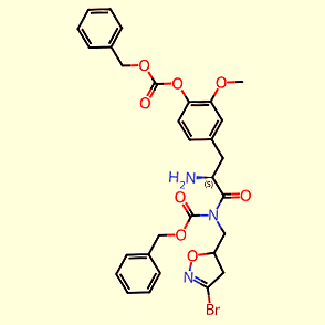 COc1cc(C[C@H](N)C(=O)N(CC2CC(Br)=NO2)C(=O)OCc2ccccc2)ccc1OC(=O)OCc1ccccc1